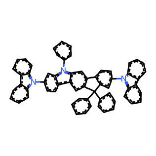 c1ccc(-n2c3cc(-n4c5ccccc5c5ccccc54)ccc3c3cc4c(cc32)-c2ccc(-n3c5ccccc5c5ccccc53)cc2C4(c2ccccc2)c2ccccc2)cc1